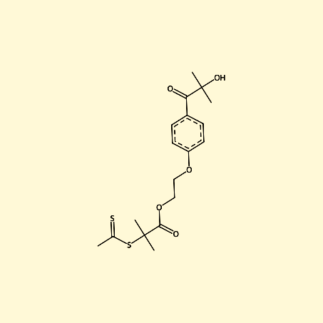 CC(=S)SC(C)(C)C(=O)OCCOc1ccc(C(=O)C(C)(C)O)cc1